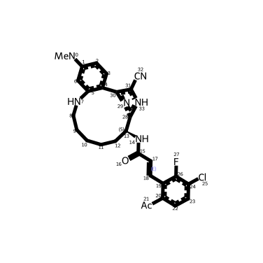 CNc1ccc2c(c1)NCCCCC[C@H](NC(=O)/C=C/c1c(C(C)=O)ccc(Cl)c1F)c1nc-2c(C#N)[nH]1